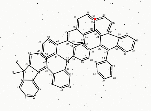 CC1(C)c2ccccc2-c2c(-c3ccccc3N(c3ccc(-c4c(-c5ccccc5)c5ccccc5c5ccccc45)cc3)c3ccccc3-c3ccc4ccccc4c3)cccc21